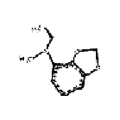 CCN(C)c1cccc2c1OCO2